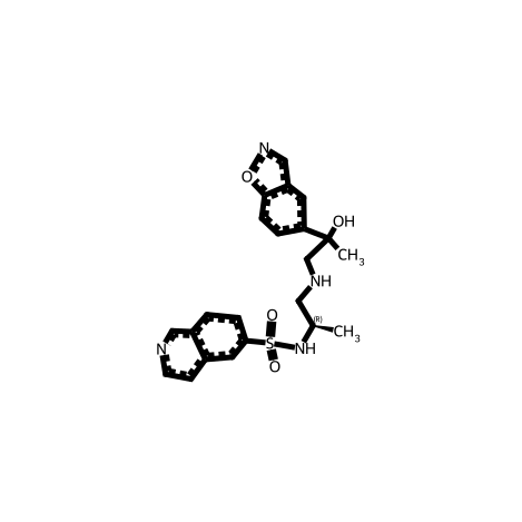 C[C@H](CNCC(C)(O)c1ccc2oncc2c1)NS(=O)(=O)c1ccc2cnccc2c1